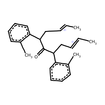 C/C=C/CC(C(=O)C(C/C=C/C)c1ccccc1C)c1ccccc1C